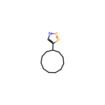 C1=C(C2CCCCCCCCCC2)P=P[N]1